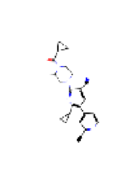 C#Cc1cc(-c2cc(C#N)c(N3CCN(C(=O)C4CC4)C(C)C3)nc2C2CC2)ccn1